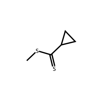 CSC(=S)C1CC1